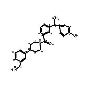 CC(c1ccc(O)cc1)c1cccc(C(=O)N2CCC(c3cccc(CN)c3)CC2)c1